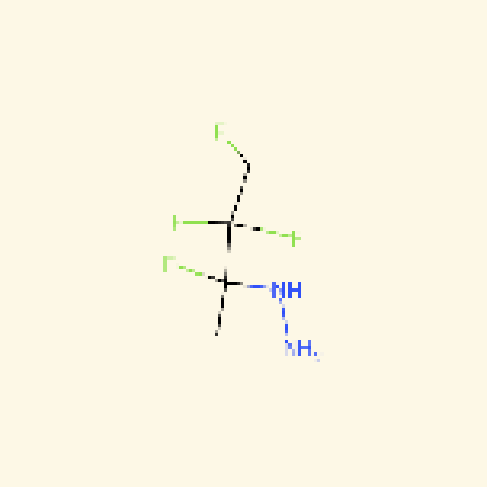 CC(F)(NN)C(F)(F)CF